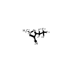 Cn1[c]c(C#N)c(C(F)(F)C(F)(F)F)n1